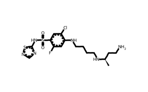 C[C@H](CCN)NCCCCNc1cc(F)c(S(=O)(=O)Nc2ncns2)cc1Cl